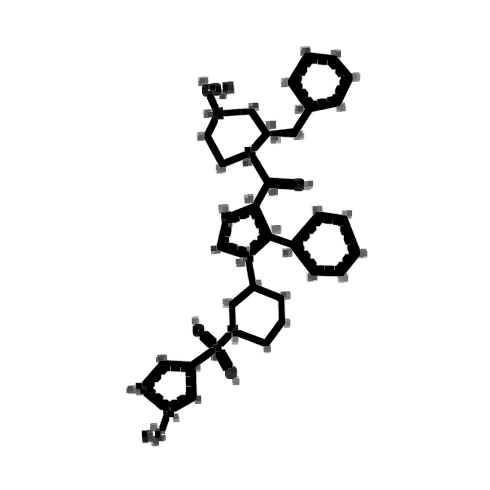 Cn1cc(S(=O)(=O)N2CCCC(n3cnc(C(=O)N4CCN(C(=O)O)C[C@H]4Cc4ccccc4)c3-c3ccccc3)C2)cn1